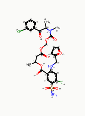 CC(CC(=O)OCOC(=O)N(C(C)C(=O)c1cccc(Cl)c1)C(C)(C)C)OC(=O)c1cc(S(N)(=O)=O)c(Cl)cc1NCc1ccco1